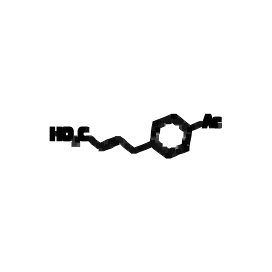 CC(=O)c1ccc(CC=CC(=O)O)cc1